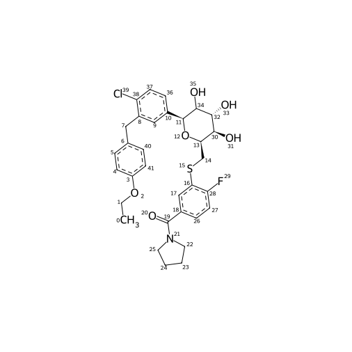 CCOc1ccc(Cc2cc([C@@H]3O[C@H](CSc4cc(C(=O)N5CCCC5)ccc4F)[C@H](O)[C@@H](O)C3O)ccc2Cl)cc1